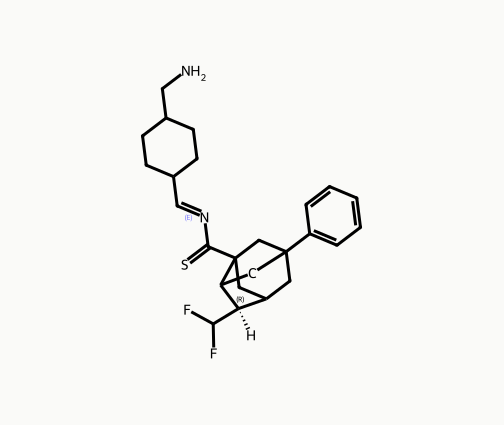 NCC1CCC(/C=N/C(=S)C23CC4CC(c5ccccc5)(CC2[C@@H]4C(F)F)C3)CC1